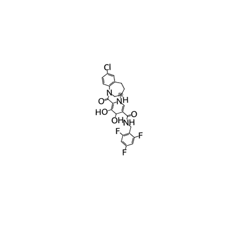 O=C(NCc1c(F)cc(F)cc1F)C1=CN2C(=C(O)C1O)C(=O)N1C[C@H]2CCc2cc(Cl)ccc21